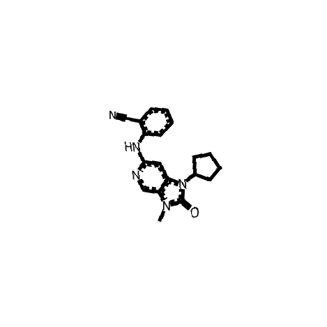 Cn1c(=O)n(C2CCCC2)c2cc(Nc3ccccc3C#N)ncc21